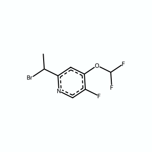 CC(Br)c1cc(OC(F)F)c(F)cn1